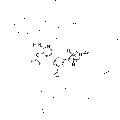 CC(=O)N1C[C@@H]2[C@H](C1)[C@H]2c1cc(-c2cnc(N)c(OC(F)F)c2)nc(C2CC2)n1